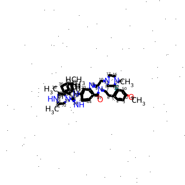 COc1ccc(CCn2c(CN3CCN(C)CC3)nc3cc(N(C(=N)N4C[C@@H](C)N[C@@H](C)C4)[C@H]4C[C@H]5C[C@@H]([C@@H]4C)C5(C)C)ccc3c2=O)c(F)c1